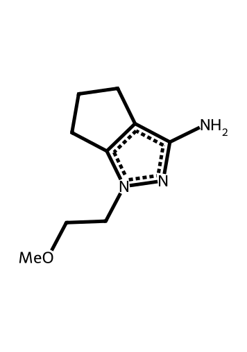 COCCn1nc(N)c2c1CCC2